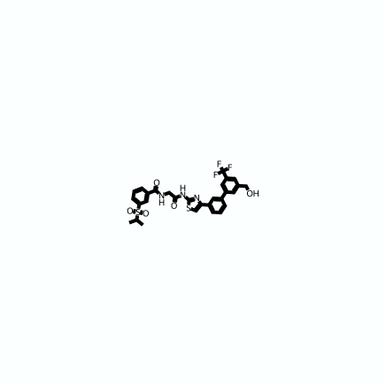 CC(C)S(=O)(=O)c1cccc(C(=O)NCC(=O)Nc2nc(-c3cccc(-c4cc(CO)cc(C(F)(F)F)c4)c3)cs2)c1